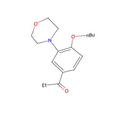 CCCCOc1ccc(C(=O)CC)cc1N1CCOCC1